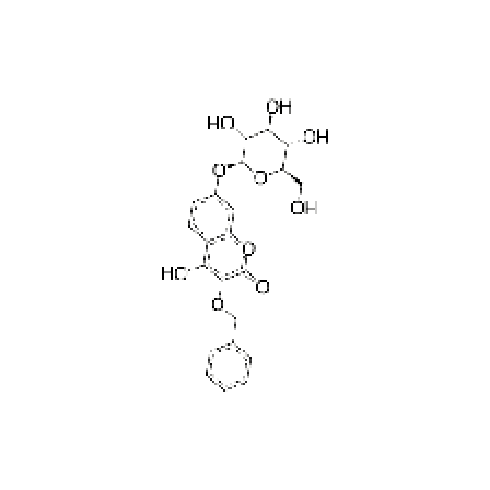 O=c1oc2cc(O[C@@H]3O[C@H](CO)[C@@H](O)[C@H](O)[C@H]3O)ccc2c(O)c1OCc1ccccc1